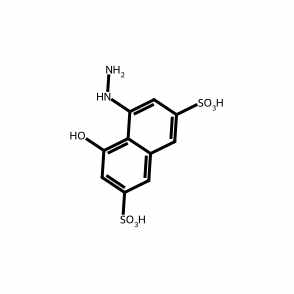 NNc1cc(S(=O)(=O)O)cc2cc(S(=O)(=O)O)cc(O)c12